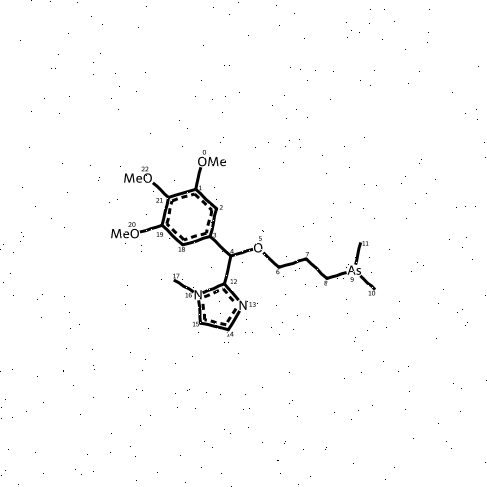 COc1cc(C(OCCC[As](C)C)c2nccn2C)cc(OC)c1OC